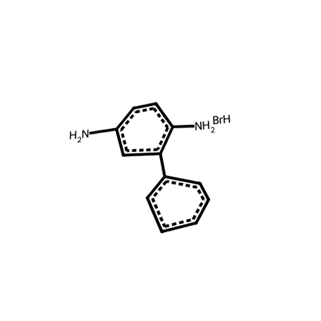 Br.Nc1ccc(N)c(-c2ccccc2)c1